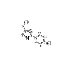 ClCc1nnc(-c2ccc(Cl)cc2)s1